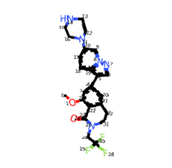 COc1cc(-c2cnn3cc(N4CCNCC4)ccc23)cc2c1C(=O)N(CC(F)(F)F)CC2